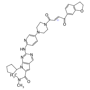 CN(C)C(=O)c1cc2cnc(Nc3ccc(N4CCN(C(=O)/C=C/C(=O)c5ccc6c(c5)OCC6)CC4)cn3)nc2n1C1CCCC1